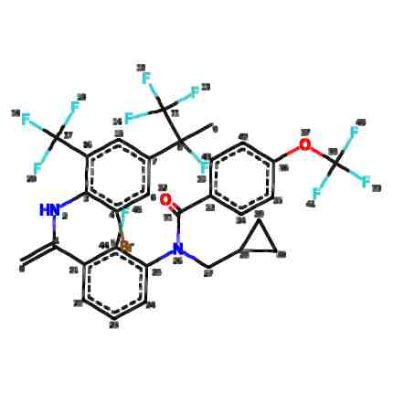 C=C(Nc1c(Br)cc(C(C)(F)C(F)(F)F)cc1C(F)(F)F)c1cccc(N(CC2CC2)C(=O)c2ccc(OC(F)(F)F)cc2)c1F